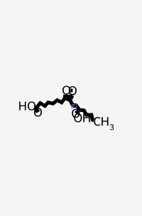 CCCCCC(/C=C/C1C2CC(OO2)C1CCCCCCC(=O)O)OO